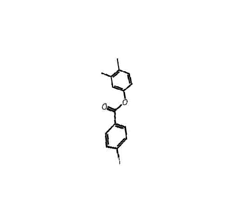 Cc1ccc(OC(=O)c2ccc(I)cc2)cc1C